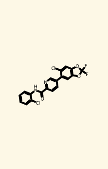 O=C(Nc1ccccc1Cl)c1ccc(-c2cc3c(cc2Cl)OC(F)(F)O3)cn1